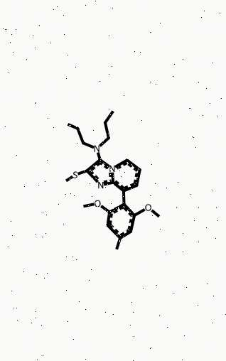 CCCN(CCC)c1c(SC)nc2c(-c3c(OC)cc(C)cc3OC)cccn12